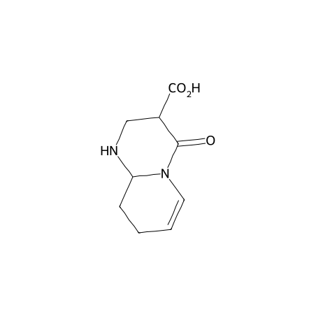 O=C(O)C1CNC2CCC=CN2C1=O